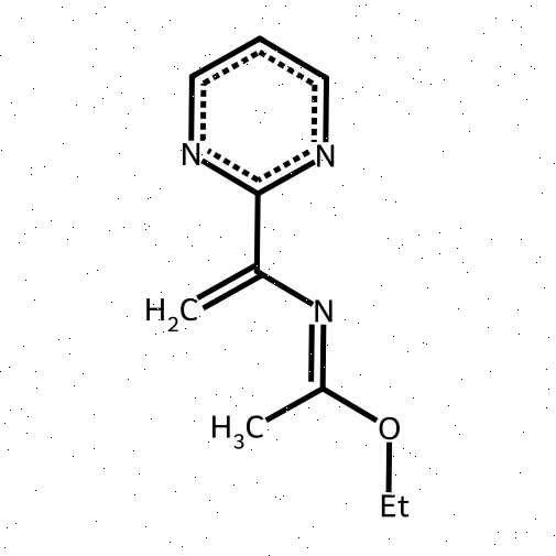 C=C(/N=C(\C)OCC)c1ncccn1